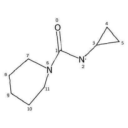 O=C([N]C1CC1)N1CCCCC1